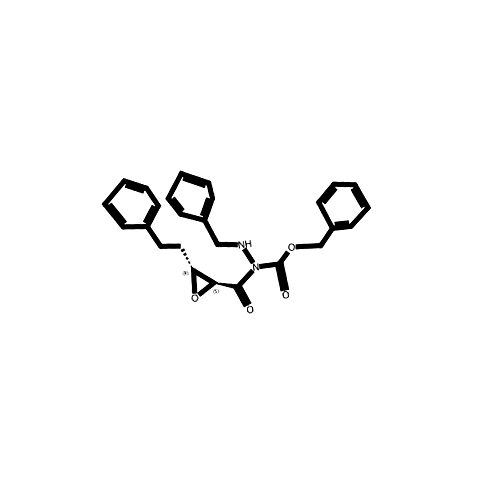 O=C(OCc1ccccc1)N(NCc1ccccc1)C(=O)[C@H]1O[C@@H]1CCc1ccccc1